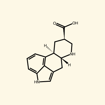 O=C(O)[C@H]1CN[C@@H]2Cc3c[nH]c4cccc(c34)[C@H]2C1